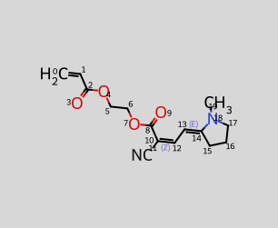 C=CC(=O)OCCOC(=O)/C(C#N)=C\C=C1/CCCN1C